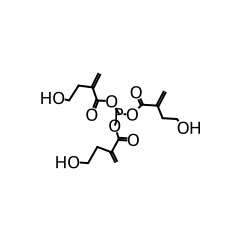 C=C(CCO)C(=O)OP(OC(=O)C(=C)CCO)OC(=O)C(=C)CCO